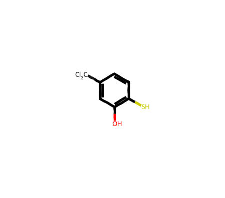 Oc1cc(C(Cl)(Cl)Cl)ccc1S